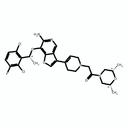 C[C@@H]1CN(C(=O)CN2CC=C(c3coc4c(O[C@H](C)c5c(Cl)ccc(F)c5Cl)c(N)ncc34)CC2)C[C@H](C)O1